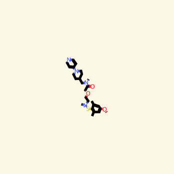 COc1cc(C)c(SN(C)CCOCC(=O)N(C)CC2CCN(c3ccncc3)CC2)c(C)c1